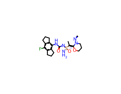 C=NN1CCCO/C1=C(/C)S(N)(=O)=NC(=O)Nc1c2c(c(F)c3c1CCC3)CCC2